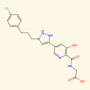 O=C(O)CNC(=O)c1ncc(C2=CN(CCCc3ccc(Cl)cc3)NN2)cc1O